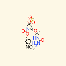 CC(C)(CNC(N)=O)OC[C@@H]1C[C@@H](OS(C)(=O)=O)CN1C(=O)OCc1ccc([N+](=O)[O-])cc1